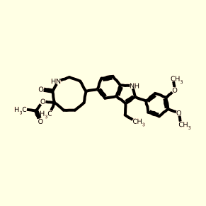 CCc1c(-c2ccc(OC)c(OC)c2)[nH]c2ccc(C3CCCC(C)(OC(C)=O)C(=O)NCC3)cc12